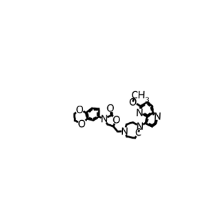 COc1ccc2nccc(N3CCCN(CC4CN(c5ccc6c(c5)OCCO6)C(=O)O4)CC3)c2n1